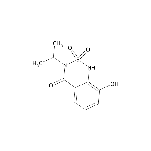 CC(C)N1C(=O)c2cccc(O)c2NS1(=O)=O